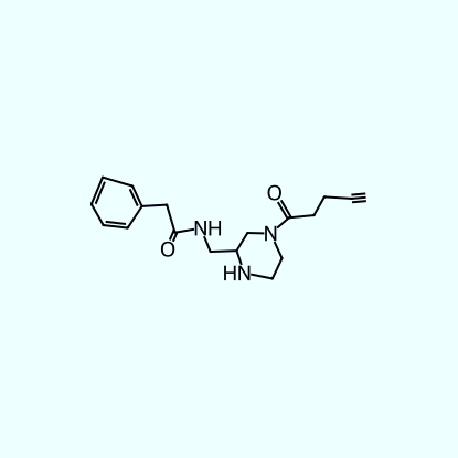 C#CCCC(=O)N1CCNC(CNC(=O)Cc2ccccc2)C1